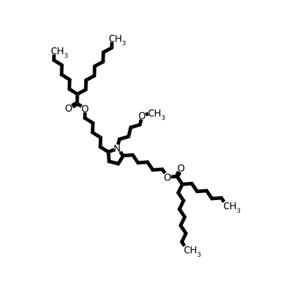 CCCCCCCCC(CCCCCC)C(=O)OCCCCCC1CCC(CCCCCOC(=O)C(CCCCCC)CCCCCCCC)N1CCCCOC